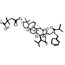 CC(C)C(=O)N(Cc1ccccc1)C[C@H](O)[C@@]12CC[C@]3(C)[C@H](CC[C@@H]4[C@@]5(C)CC[C@H](OC(=O)CC(C)(C)C(=O)O)C(C)(C)C5CC[C@]43C)C1=C(C(C)C)C(=O)C2